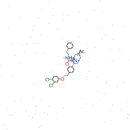 CC(=O)N1CC2CC(c3ccc(CCOc4ccc(Cl)c(Cl)c4)cc3)=C(C(=O)N(C)CCc3ccccc3)[C@@H](C1)N2